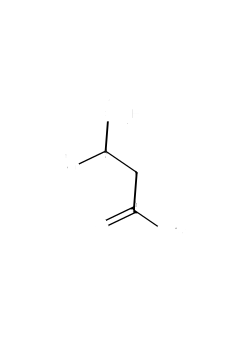 CC(=O)OC(=O)CC(O)C(=O)O